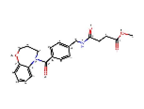 COC(=O)CCC(=O)NCc1ccc(C(=O)N2CCCOc3ccccc32)cc1